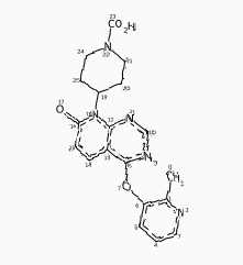 Cc1ncccc1Oc1ncnc2c1ccc(=O)n2C1CCN(C(=O)O)CC1